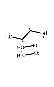 CCC.CCO.OCCO